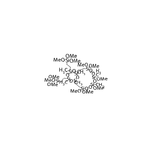 CO[Si]1(C)OO[Si](OC)(OC)CC[Si]2(C)O[Si](C)(CC[Si](OC)(OC)OC)O[Si](C)(CC[Si](OC)(OC)OC)O[Si](C)(CC[Si](OC)(OC)OO[Si](C)(OC)O1)O2